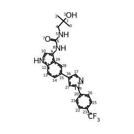 CC(C)(O)CNC(=O)Nc1c[nH]c2ccc(-c3cnn(-c4ccc(C(F)(F)F)cc4)c3)cc12